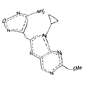 CSc1ncc2nc(-c3nonc3N)n(C3CC3)c2n1